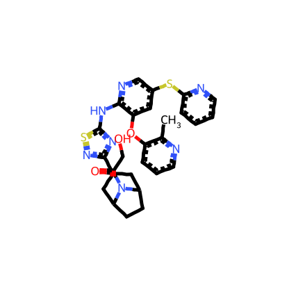 Cc1ncccc1Oc1cc(Sc2ccccn2)cnc1Nc1nc(C2CC3CCC(C2)N3C(=O)CO)ns1